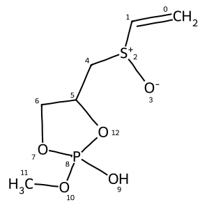 C=C[S+]([O-])CC1CO[P](O)(OC)O1